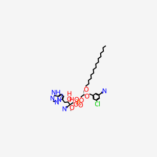 CCCCCCCCCCCCCCCCOC[C@@H](COP(=O)(O)OCC(C#N)(OC)[C@@H](O)Cc1ccc2c(N)ncnn12)OCc1cc(Cl)cc(C#N)c1